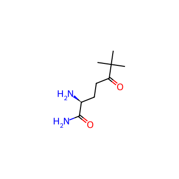 CC(C)(C)C(=O)CC[C@H](N)C(N)=O